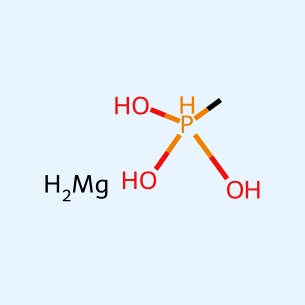 C[PH](O)(O)O.[MgH2]